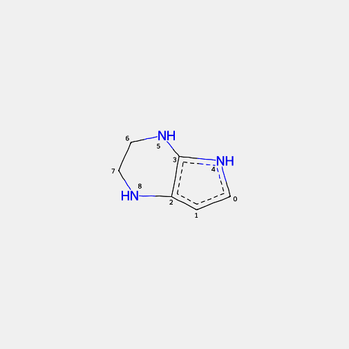 c1cc2c([nH]1)NCCN2